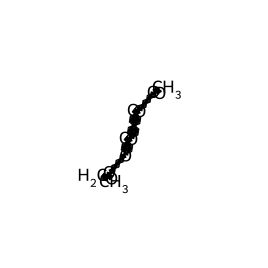 C=C(C)C(=O)OCCCCCCOc1ccc(C(=O)Oc2ccc(-c3ccc(C(=O)OCCCCCCOC(C)=O)cc3)cc2)cc1